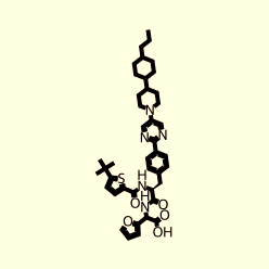 CCCC1CCC(C2CCN(c3cnc(-c4ccc(C[C@H](NC(=O)c5ccc(C(C)(C)C)s5)C(=O)NC(C(=O)O)c5ccco5)cc4)nc3)CC2)CC1